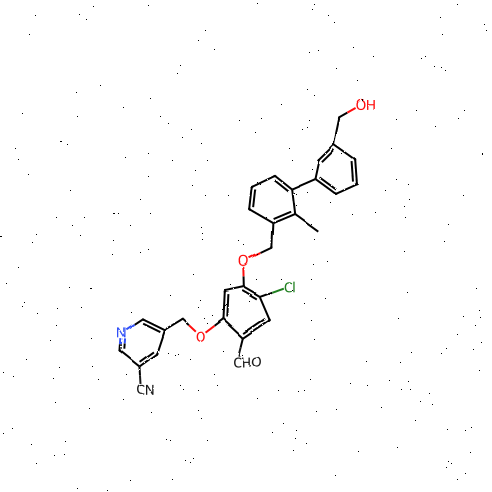 Cc1c(COc2cc(OCc3cncc(C#N)c3)c(C=O)cc2Cl)cccc1-c1cccc(CO)c1